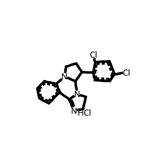 Cl.Clc1ccc(C2CCN3c4ccccc4C4=NCCN4C23)c(Cl)c1